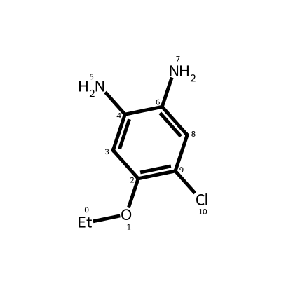 CCOc1cc(N)c(N)cc1Cl